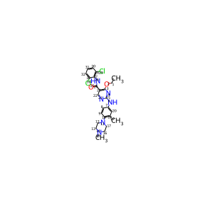 CCOc1nc(Nc2ccc(N3CCN(C)CC3)c(C)c2)ncc1C(=O)Nc1c(Cl)cccc1Cl